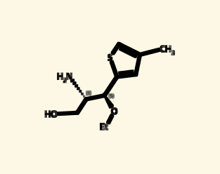 CCO[C@H](c1cc(C)cs1)[C@@H](N)CO